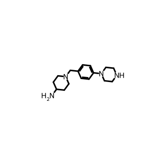 NC1CCN(Cc2ccc(N3CCNCC3)cc2)CC1